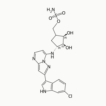 NS(=O)(=O)OCC1C[C@@H](Nc2ccnc3cc(-c4c[nH]c5cc(Cl)ccc45)nn23)[C@H](O)[C@@H]1O